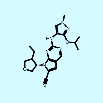 CCC1COC[C@@H]1n1c(C#N)cc2cnc(Nc3cn(C)nc3OC(C)C)nc21